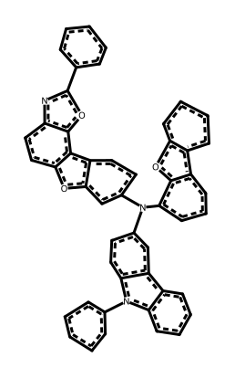 c1ccc(-c2nc3ccc4oc5cc(N(c6ccc7c(c6)c6ccccc6n7-c6ccccc6)c6cccc7c6oc6ccccc67)ccc5c4c3o2)cc1